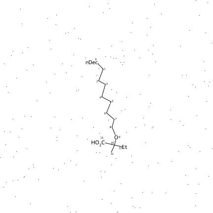 CCCCCCCCCCCCCCCCCCOC(C)(CC)C(=O)O